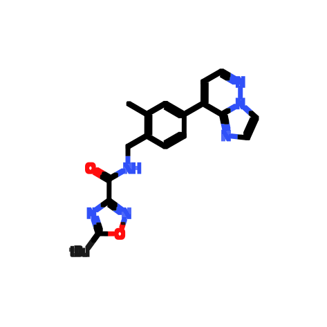 Cc1cc(-c2ccnn3ccnc23)ccc1CNC(=O)c1noc(C(C)(C)C)n1